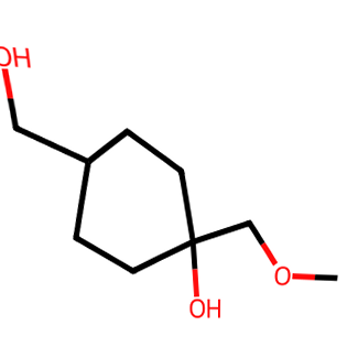 COCC1(O)CCC(CO)CC1